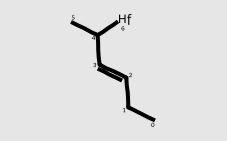 CCC=C[CH](C)[Hf]